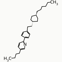 CCCCCC[C@H]1CC[C@H](CCc2ccc(-c3ccc(CCCC)cn3)cc2)CC1